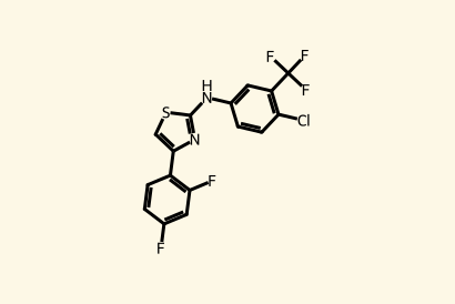 Fc1ccc(-c2csc(Nc3ccc(Cl)c(C(F)(F)F)c3)n2)c(F)c1